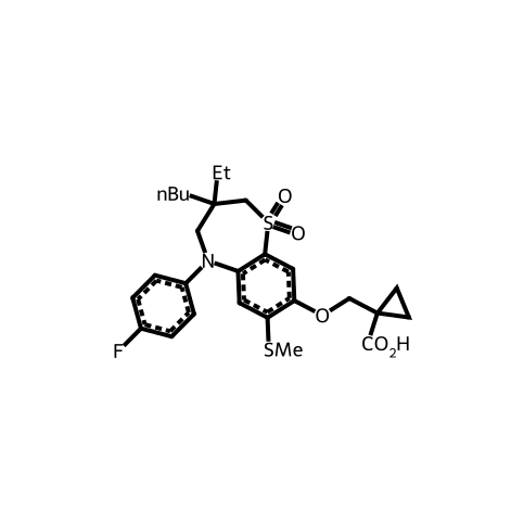 CCCCC1(CC)CN(c2ccc(F)cc2)c2cc(SC)c(OCC3(C(=O)O)CC3)cc2S(=O)(=O)C1